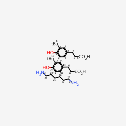 CC(C)(C)c1cc(CCC(=O)O)ccc1O.CC(C)(C)c1cc(CCC(=O)O)ccc1O.NCCCCCCN